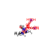 COc1ccc(-c2nc(NS(=O)(=O)c3ccc(C(C)(C)C)cn3)c(Oc3ccccc3C)c(OCC(COC(=O)OCCOCCON(O)O)OC(=O)OCCOCCON(O)O)n2)cc1